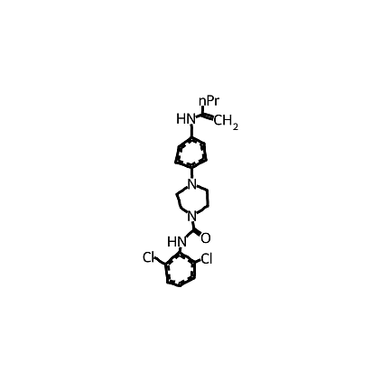 C=C(CCC)Nc1ccc(N2CCN(C(=O)Nc3c(Cl)cccc3Cl)CC2)cc1